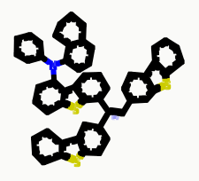 C(=C(\c1ccc2sc3ccccc3c2c1)c1cccc2c1sc1cccc(N(c3ccccc3)c3cccc4ccccc34)c12)/c1ccc2c(c1)sc1ccccc12